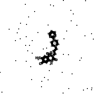 Cc1cc2c(cc1Cl)NC(=O)N(CCCN1CCN(c3ncccn3)CC1)S2(=O)=O